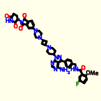 COc1ccc(F)cc1C(=O)NCc1ccc(-c2nn(C3CCN([C@H]4C[C@@H](N5CCN(c6ccc7c(c6)C(=O)N([C@H]6CCC(=O)NC6=O)C7=O)CC5)C4)CC3)c3ncnc(N)c23)cc1